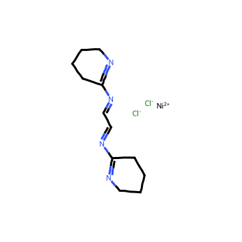 C(C=NC1=NCCCC1)=NC1=NCCCC1.[Cl-].[Cl-].[Ni+2]